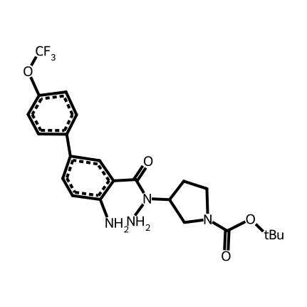 CC(C)(C)OC(=O)N1CCC(N(N)C(=O)c2cc(-c3ccc(OC(F)(F)F)cc3)ccc2N)C1